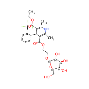 CCOC(=O)C1=C(C)NC(C)=C(C(=O)OCCO[C@H]2O[C@H](CO)[C@@H](O)[C@H](O)[C@H]2O)C1c1ccccc1C(F)(F)F